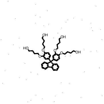 OCCCCOc1ccc(C2(c3ccc(OCCCCO)c(OCCCCO)c3)c3ccccc3-c3ccccc32)cc1OCCCCO